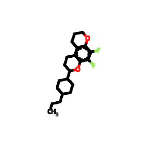 CCCC1CCC(C2CCc3c4c(c(F)c(F)c3O2)OCCC4)CC1